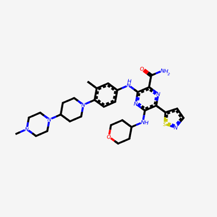 Cc1cc(Nc2nc(NC3CCOCC3)c(-c3ccns3)nc2C(N)=O)ccc1N1CCC(N2CCN(C)CC2)CC1